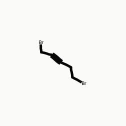 BrCC#CCCBr